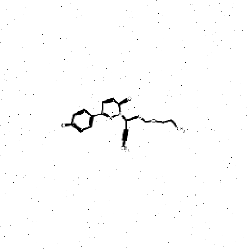 CC#CC(OCCCCC)n1nc(-c2ccc(Cl)cc2)ccc1=O